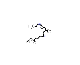 C=C/C=C\OCC(CC)C/C=C\CCCC(=O)OC(C)C